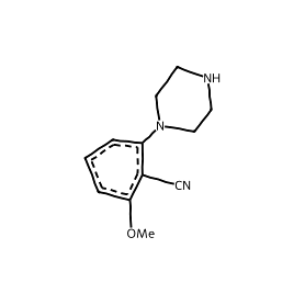 COc1cccc(N2CCNCC2)c1C#N